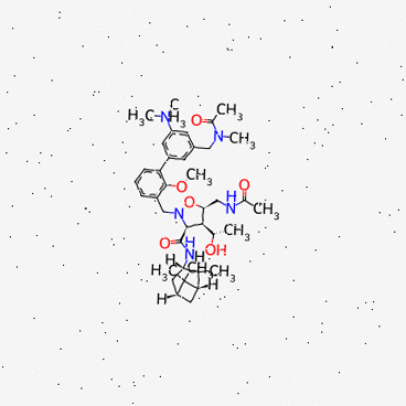 COc1c(CN2O[C@@H](CNC(C)=O)[C@@H]([C@H](C)O)[C@H]2C(=O)N[C@H]2C[C@H]3C[C@@H]([C@@H]2C)C3(C)C)cccc1-c1cc(CN(C)C(C)=O)cc(N(C)C)c1